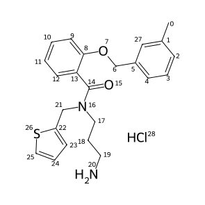 Cc1cccc(COc2ccccc2C(=O)N(CCCN)Cc2cccs2)c1.Cl